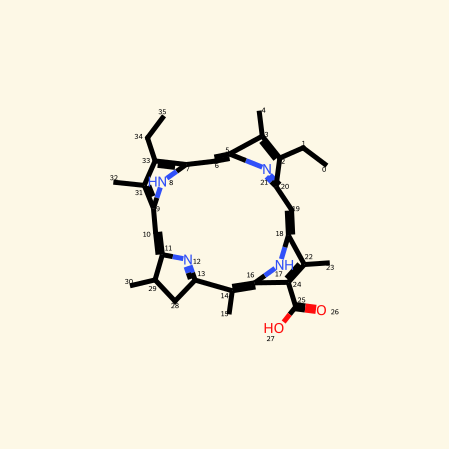 CCC1=C(C)c2cc3[nH]c(cc4nc(c(C)c5[nH]c(cc1n2)c(C)c5C(=O)O)CC4C)c(C)c3CC